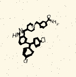 NC(=O)c1cccc(CN2CCC(c3n[nH]c4ccc(C(c5ccc(Cl)cc5)c5ccc(Cl)cc5)cc34)CC2)c1